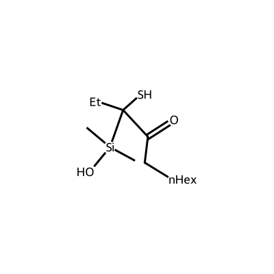 CCCCCCCC(=O)C(S)(CC)[Si](C)(C)O